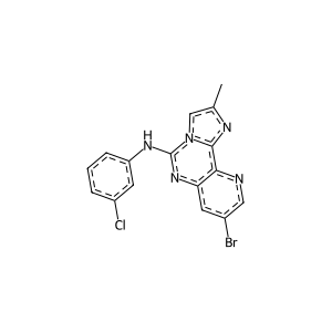 Cc1cn2c(Nc3cccc(Cl)c3)nc3cc(Br)cnc3c2n1